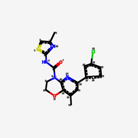 Cc1csc(NC(=O)N2CCOc3c(C)cc(-c4cccc(Cl)c4)nc32)n1